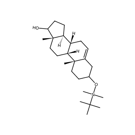 CC(C)(C)[Si](C)(C)OC1CC[C@@]2(C)C(=CC[C@@H]3[C@H]2CC[C@]2(C)C(O)CC[C@@H]32)C1